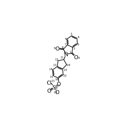 O=C1c2ccccc2C(=O)N1C1Cc2ccc(OS(=O)(=O)Cl)cc2C1